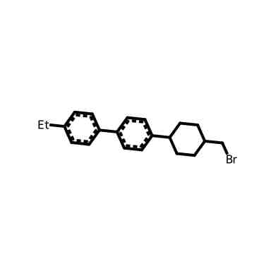 CCc1ccc(-c2ccc(C3CCC(CBr)CC3)cc2)cc1